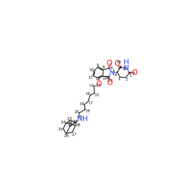 O=C1CCC(N2C(=O)c3cccc(OCCCCCCCNC45CC6CC(CC4C6)C5)c3C2=O)C(=O)N1